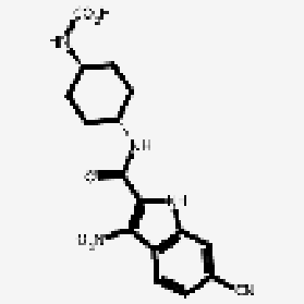 N#Cc1ccc2c([N+](=O)[O-])c(C(=O)N[C@H]3CC[C@H](NC(=O)O)CC3)[nH]c2c1